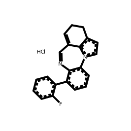 Cl.Fc1ccccc1-c1cccc2c1N=CC1=CCCc3ccn-2c31